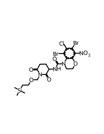 C[Si](C)(C)CCOCN1C(=O)CCC(NC(=O)N2CCOc3c2c(Br)c(Cl)c(Br)c3[N+](=O)[O-])C1=O